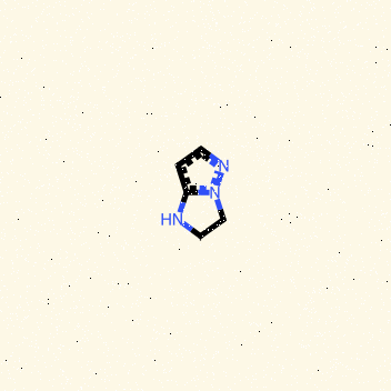 [CH]1Cn2nccc2N1